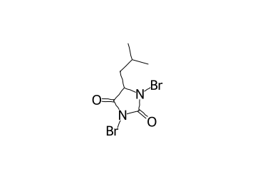 CC(C)CC1C(=O)N(Br)C(=O)N1Br